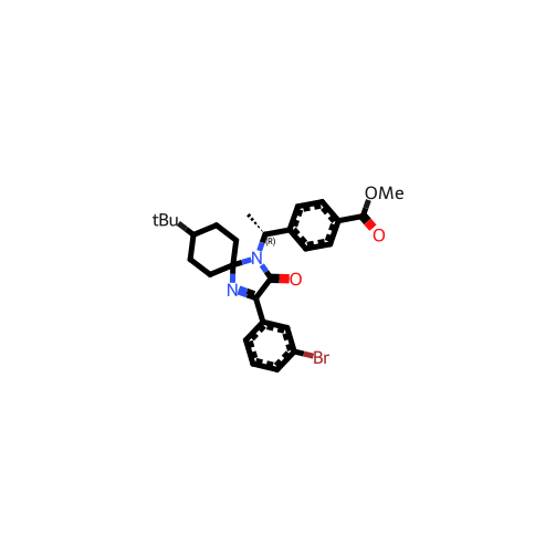 COC(=O)c1ccc([C@@H](C)N2C(=O)C(c3cccc(Br)c3)=NC23CCC(C(C)(C)C)CC3)cc1